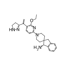 C=C(C1=NNCC1)c1ccc(N2CCC3(CC2)Cc2ccccc2[C@H]3N)nc1OCC